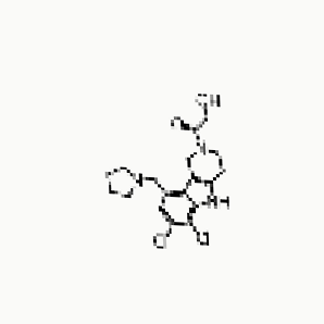 O=C(CO)N1CCc2[nH]c3c(Cl)c(Cl)cc(CN4CCCC4)c3c2C1